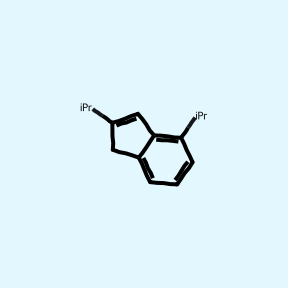 CC(C)C1=Cc2c(cccc2C(C)C)C1